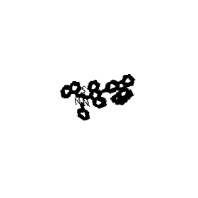 c1ccc(-c2nc(-c3c4ccccc4c(-c4ccc5c(c4)C4(c6ccccc6-5)C5CC6CC(C5)CC4C6)c4ccccc34)c3sc4ccc5ccccc5c4c3n2)cc1